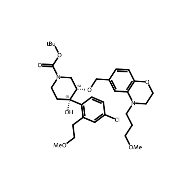 COCCCN1CCOc2ccc(CO[C@H]3CN(C(=O)OC(C)(C)C)CC[C@]3(O)c3ccc(Cl)cc3CCOC)cc21